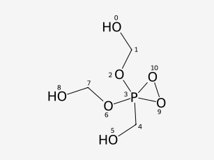 OCOP1(CO)(OCO)OO1